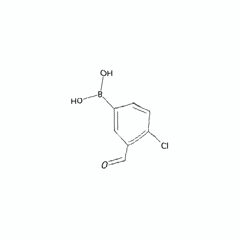 O=Cc1cc(B(O)O)ccc1Cl